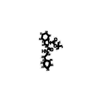 CC(C)(C)OC(=O)N1C2CCCCC2C[C@H]1C(=O)NCCc1ccccc1